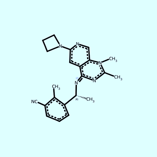 Cc1c(C#N)cccc1[C@@H](C)/N=c1\nc(C)n(C)c2cnc(N3CCC3)cc12